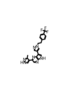 Cc1n[nH]cc1-c1cnc2[nH]cc(-c3cnn(CCc4ccc(C(F)(F)F)cc4)c3)c2n1